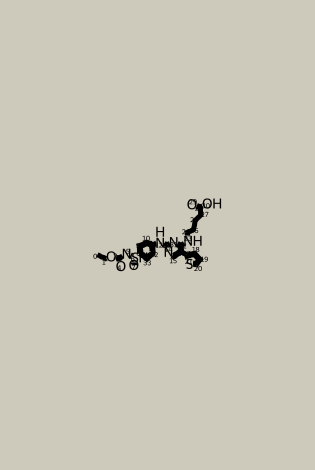 CCOC(=O)N=[SH](=O)c1ccc(Nc2ncc(-c3cccs3)c(NCCCCC(=O)O)n2)cc1